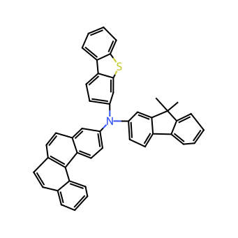 CC1(C)c2ccccc2-c2ccc(N(c3ccc4c(ccc5ccc6ccccc6c54)c3)c3ccc4c(c3)sc3ccccc34)cc21